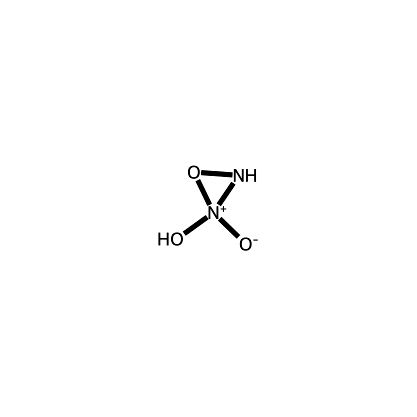 [O-][N+]1(O)NO1